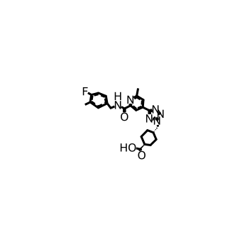 Cc1cc(-c2nnn(C[C@H]3CC[C@H](C(=O)O)CC3)n2)cc(C(=O)NCc2ccc(F)c(C)c2)n1